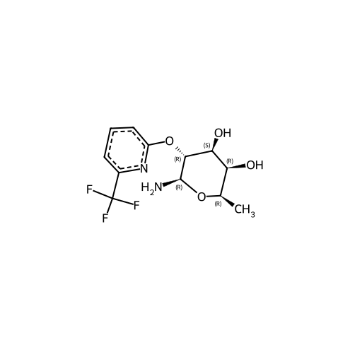 C[C@H]1O[C@@H](N)[C@H](Oc2cccc(C(F)(F)F)n2)[C@@H](O)[C@H]1O